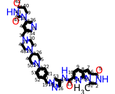 C[C@@H]1CNC(=O)c2cc3ccc(C(=O)Nc4cnn(Cc5ccc(N6CCC(N7CCN(Cc8cncc(N9CCC(=O)NC9=O)c8)CC7)CC6)cc5)c4)nc3n21